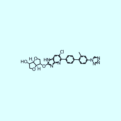 Cc1cc(-n2cnnn2)ccc1-c1ccc(-c2nc3nc(O[C@@H]4CO[C@H]5[C@@H]4OC[C@H]5O)[nH]c3cc2Cl)cc1